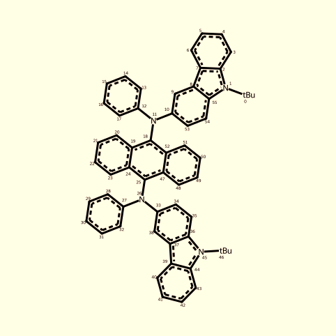 CC(C)(C)n1c2ccccc2c2cc(N(c3ccccc3)c3c4ccccc4c(N(c4ccccc4)c4ccc5c(c4)c4ccccc4n5C(C)(C)C)c4ccccc34)ccc21